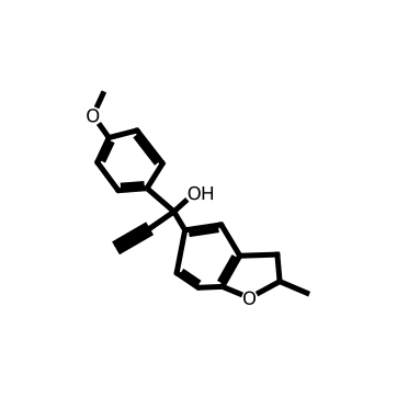 C#CC(O)(c1ccc(OC)cc1)c1ccc2c(c1)CC(C)O2